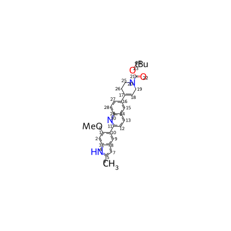 COc1cc2[nH]c(C)cc2cc1-c1ccc2cc(C3=CCN(C(=O)OC(C)(C)C)CC3)ccc2n1